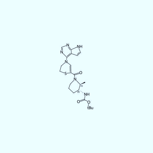 C[C@H]1[C@H](NC(=O)OC(C)(C)C)CCCN1C(=O)C1=CN(c2ncnc3[nH]ccc23)CCS1